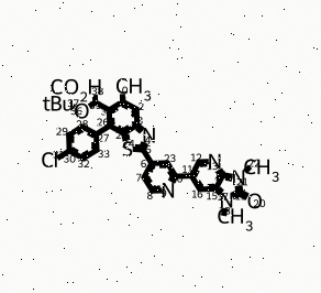 Cc1cc2nc(-c3ccnc(-c4cnc5c(c4)n(C)c(=O)n5C)c3)sc2c(-c2ccc(Cl)cc2)c1C(OC(C)(C)C)C(=O)O